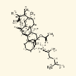 CC(=O)O[C@@H]1C[C@]23COC[C@@](C)([C@@H]2CC[C@H]2C3=CC(=O)[C@@]3(C)[C@H](C(=O)O)[C@@](C)([C@H](C)C(C)C)CC[C@]23C)[C@H]1OCC(N)COC(C)C